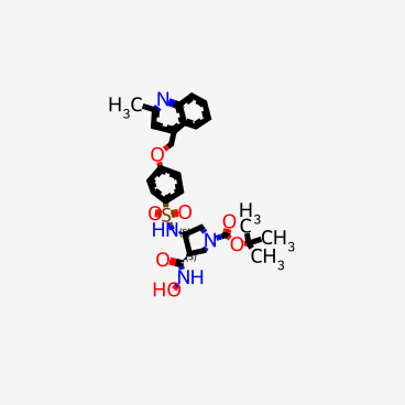 Cc1cc(COc2ccc(S(=O)(=O)N[C@@H]3CN(C(=O)OC(C)(C)C)C[C@@H]3C(=O)NO)cc2)c2ccccc2n1